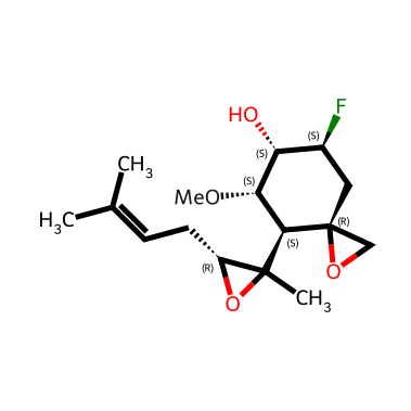 CO[C@@H]1[C@H](O)[C@@H](F)C[C@]2(CO2)[C@H]1C1(C)O[C@@H]1CC=C(C)C